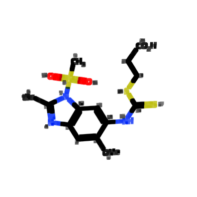 COc1cc2nc(C(C)(C)C)n(S(C)(=O)=O)c2cc1NC(=S)SCCC(=O)O